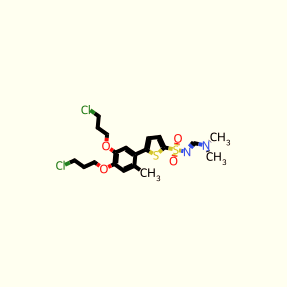 Cc1cc(OCCCCl)c(OCCCCl)cc1-c1ccc(S(=O)(=O)/N=C/N(C)C)s1